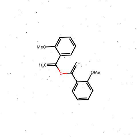 C=C(OC(=C)c1ccccc1OC)c1ccccc1OC